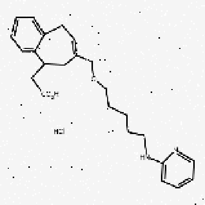 Cl.O=C(O)CC1CC(COCCCCCNc2ccccn2)=CCc2ccccc21